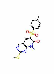 CSc1ncc2cc(S(=O)(=O)c3ccc(C)cc3)c(=O)n(C)c2n1